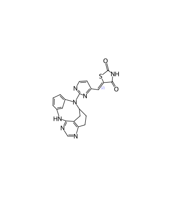 O=C1NC(=O)/C(=C/c2ccnc(N3c4cccc(c4)Nc4ncnc5c4CC3CC5)n2)S1